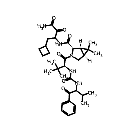 CC(C)[C@H](NC(=O)N[C@H](C(=O)N1C[C@H]2[C@@H]([C@H]1C(=O)NC(CC1CCC1)C(=O)C(N)=O)C2(C)C)C(C)(C)C)C(=O)c1ccccc1